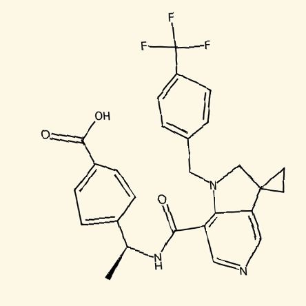 C[C@H](NC(=O)c1cncc2c1N(Cc1ccc(C(F)(F)F)cc1)CC21CC1)c1ccc(C(=O)O)cc1